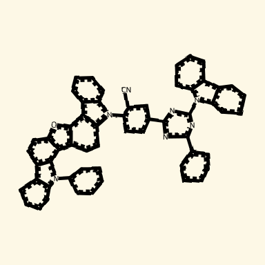 N#Cc1cc(-c2nc(-c3ccccc3)nc(-n3c4ccccc4c4ccccc43)n2)ccc1-n1c2ccccc2c2c3oc4ccc5c6ccccc6n(-c6ccccc6)c5c4c3ccc21